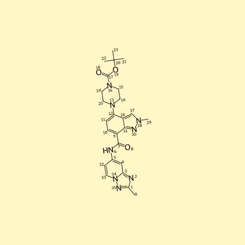 Cc1nc2cc(NC(=O)c3ccc(N4CCN(C(=O)OC(C)(C)C)CC4)c4cn(C)nc34)ccn2n1